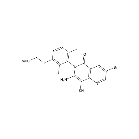 COCOc1ccc(C)c(-n2c(N)c(C#N)c3ncc(Br)cc3c2=O)c1C